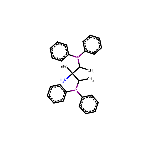 CCCC(N)(C(C)P(c1ccccc1)c1ccccc1)C(C)P(c1ccccc1)c1ccccc1